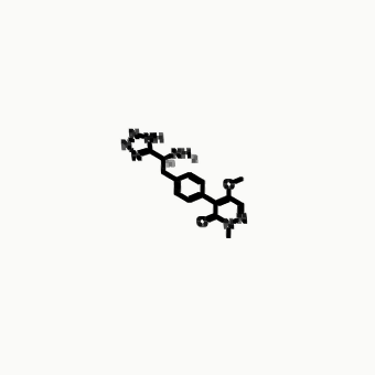 COc1cnn(C)c(=O)c1-c1ccc(C[C@H](N)c2nnn[nH]2)cc1